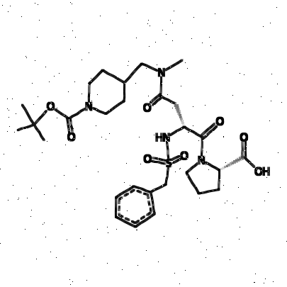 CN(CC1CCN(C(=O)OC(C)(C)C)CC1)C(=O)C[C@@H](NS(=O)(=O)Cc1ccccc1)C(=O)N1CCC[C@H]1C(=O)O